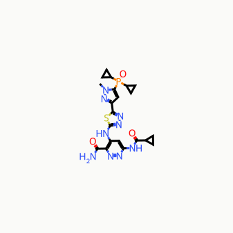 Cn1nc(-c2nnc(Nc3cc(NC(=O)C4CC4)nnc3C(N)=O)s2)cc1P(=O)(C1CC1)C1CC1